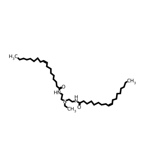 CCCCCCCC/C=C\CCCCCCCC(=O)NCCN(CC)CCNC(=O)CCCCCCC/C=C\CCCCCCCC